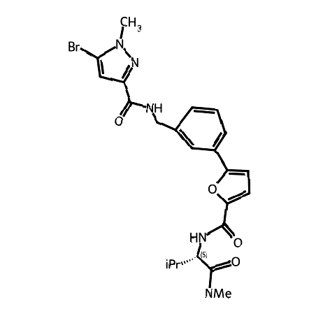 CNC(=O)[C@@H](NC(=O)c1ccc(-c2cccc(CNC(=O)c3cc(Br)n(C)n3)c2)o1)C(C)C